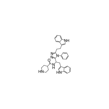 O=C(NC(Cc1c[nH]c2ccccc12)c1nnc(CCc2c[nH]c3ccccc23)n1-c1ccccc1)C1CCNCC1